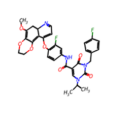 COC1=C2OCCOC2=C2C(Oc3ccc(NC(=O)c4cn(C(C)C)c(=O)n(Cc5ccc(F)cc5)c4=O)cc3F)=CC=NC2C1